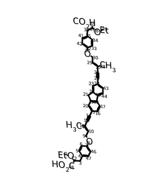 CCOC(Cc1ccc(OCC=C(C)C#Cc2ccc3c(c2)Cc2cc(C#CC(C)=CCOc4ccc(CC(OCC)C(=O)O)cc4)ccc2-3)cc1)C(=O)O